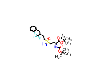 CC(C)(C)OC(=O)N[C@@H](CCS(=N)(=O)CCC(Cc1ccccc1)C(F)(F)F)C(=O)OC(C)(C)C